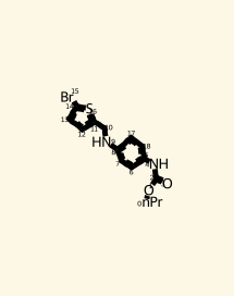 CCCOC(=O)Nc1ccc(NCc2ccc(Br)s2)cc1